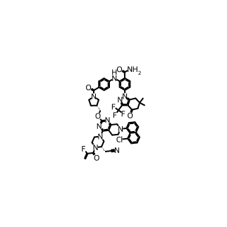 C=C(F)C(=O)N1CCN(c2nc(OC[C@@H]3CCN(C(=O)c4ccc(Nc5cc(-n6nc(C(F)(F)F)c7c6CC(C)(C)CC7=O)ccc5C(N)=O)cc4)C3)nc3c2CCN(c2cccc4cccc(Cl)c24)C3)C[C@@H]1CC#N